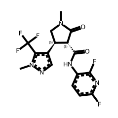 CN1C[C@H](c2cnn(C)c2C(F)(F)F)[C@@H](C(=O)Nc2ccc(F)nc2F)C1=O